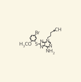 C#CCCCn1cnc(N)c2nc(Sc3cc(Br)ccc3OC)nc1-2